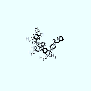 CC[n+]1c(CNC(=O)c2nc(Cl)c(N)nc2N)n(C[C@H](C)O)c2cc(N(C)C)c(C(=O)N3CCN(C(=O)Cc4ccccn4)CC3)cc21